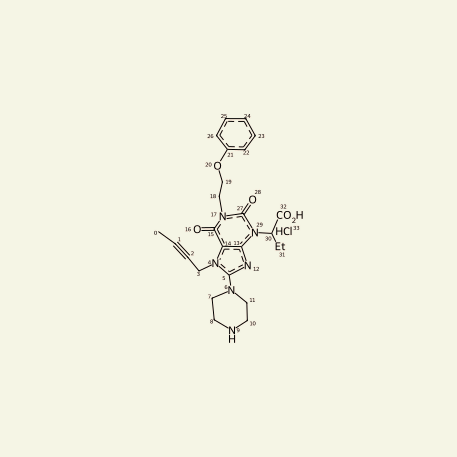 CC#CCn1c(N2CCNCC2)nc2c1c(=O)n(CCOc1ccccc1)c(=O)n2C(CC)C(=O)O.Cl